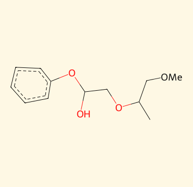 COCC(C)OCC(O)Oc1ccccc1